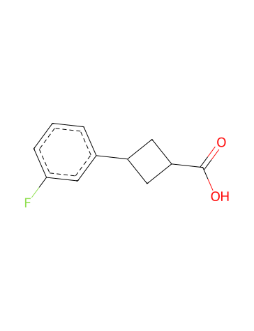 O=C(O)C1CC(c2cccc(F)c2)C1